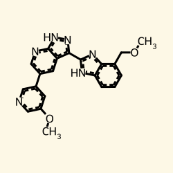 COCc1cccc2[nH]c(-c3n[nH]c4ncc(-c5cncc(OC)c5)cc34)nc12